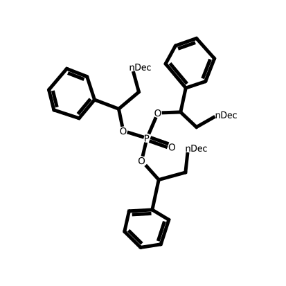 CCCCCCCCCCCC(OP(=O)(OC(CCCCCCCCCCC)c1ccccc1)OC(CCCCCCCCCCC)c1ccccc1)c1ccccc1